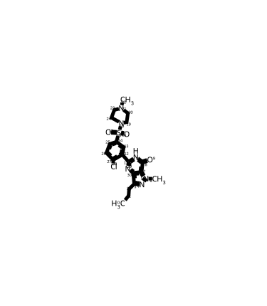 CCCc1nn(C)c2c(=O)[nH]c(-c3cc(S(=O)(=O)N4CCN(C)CC4)ccc3Cl)nc12